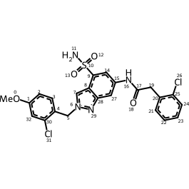 COc1ccc(Cn2cc3c(S(N)(=O)=O)cc(NC(=O)Cc4ccccc4Cl)cc3n2)c(Cl)c1